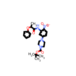 CC(Oc1ccccc1)C(=O)Nc1cc(N2CCN(C(=O)OC(C)(C)C)CC2)ccc1[N+](=O)[O-]